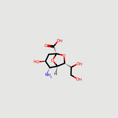 N[C@H]1[C@H]2O[C@@](C(=O)O)(C[C@@H]1O)O[C@@H]2C(O)CO